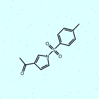 CC(=O)c1ccn(S(=O)(=O)c2ccc(C)cc2)c1